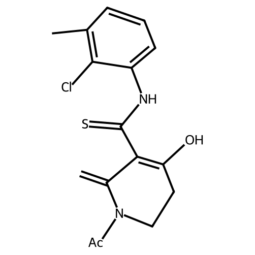 C=C1C(C(=S)Nc2cccc(C)c2Cl)=C(O)CCN1C(C)=O